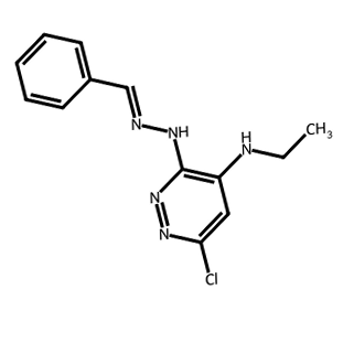 CCNc1cc(Cl)nnc1NN=Cc1ccccc1